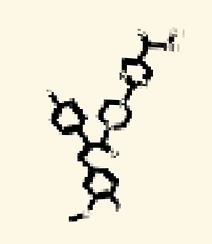 COc1cc(C=C(C(=O)N2CCN(c3ncc(C(=O)NO)cn3)CC2)c2ccc(F)cc2)ccc1F